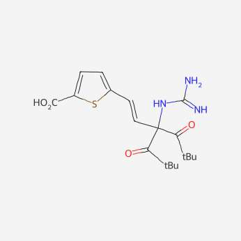 CC(C)(C)C(=O)C(C=Cc1ccc(C(=O)O)s1)(NC(=N)N)C(=O)C(C)(C)C